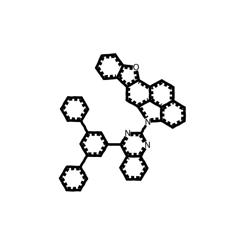 c1ccc(-c2cc(-c3ccccc3)cc(-c3nc(-n4c5cccc6ccc7c8oc9ccccc9c8cc4c7c65)nc4ccccc34)c2)cc1